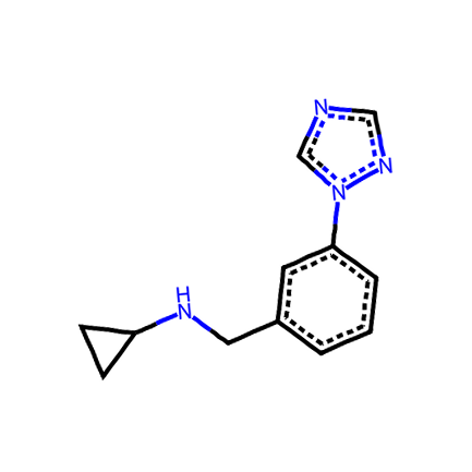 c1cc(CNC2CC2)cc(-n2cncn2)c1